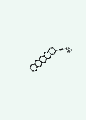 CCC[SiH2]C#Cc1ccc2cc3cc4cc5ccccc5cc4cc3cc2c1